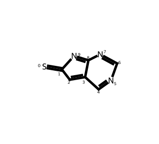 S=C1C=c2cncnc2=N1